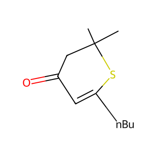 CCCCC1=CC(=O)CC(C)(C)S1